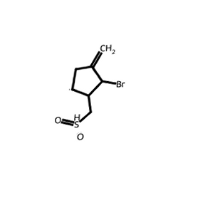 C=C1C[CH]C(C[SH](=O)=O)C1Br